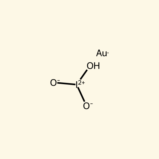 [Au].[O-][I+2]([O-])O